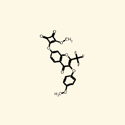 COc1ccc(Oc2c(C(F)(F)F)oc3cc(Oc4c(OC)c(=O)c4=O)ccc3c2=O)cc1